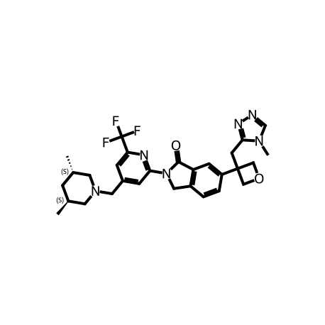 C[C@H]1C[C@H](C)CN(Cc2cc(N3Cc4ccc(C5(Cc6nncn6C)COC5)cc4C3=O)nc(C(F)(F)F)c2)C1